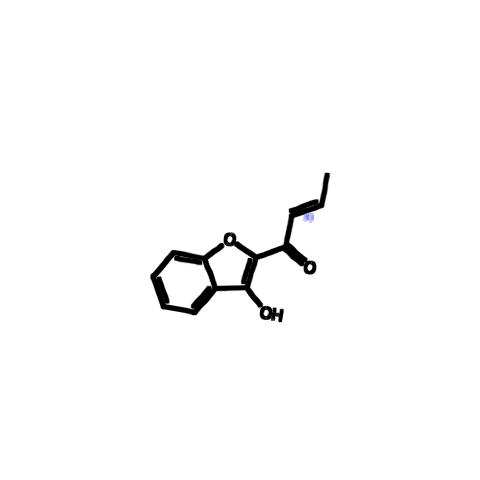 C/C=C/C(=O)c1oc2ccccc2c1O